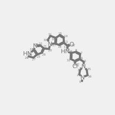 CN1CCN(Cc2ccc(NC(=O)c3ccc4c(c3)N(Cc3cnc5c(c3)CCN5)CC4)cc2C(F)(F)F)CC1